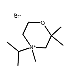 CC(C)[N+]1(C)CCOC(C)(C)C1.[Br-]